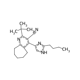 CCCCc1nc(-c2c(C#N)c(C(C)(C)C)nc3c2CCCCC3)c[nH]1